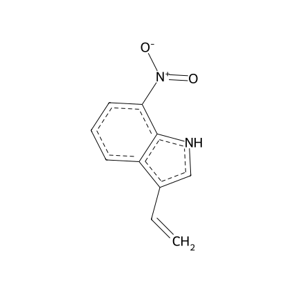 C=Cc1c[nH]c2c([N+](=O)[O-])cccc12